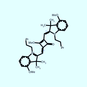 COC1=C(/C=C2\N(CCC(C)C)c3cccc(OC)c3C2(C)C)C(=O)/C1=C/C1=[N+](CCC(C)C)c2cccc(OC)c2C1(C)C